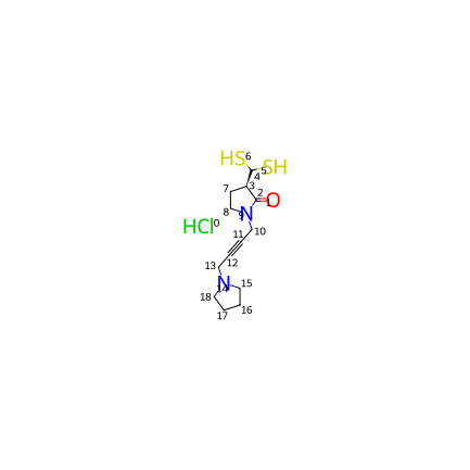 Cl.O=C1[C@H](C(S)S)CCN1CC#CCN1CCCC1